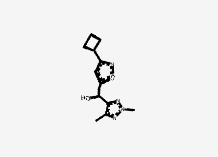 Cc1nn(C)nc1C(O)c1cc(C2CCC2)no1